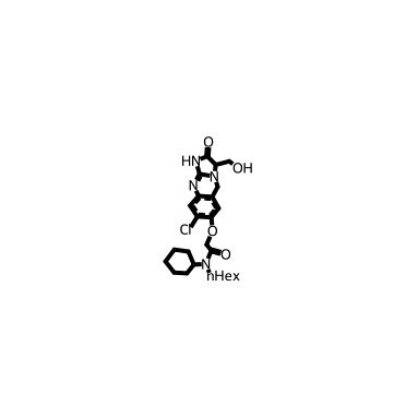 CCCCCCN(C(=O)COc1cc2c(cc1Cl)N=C1NC(=O)C(CO)N1C2)C1CCCCC1